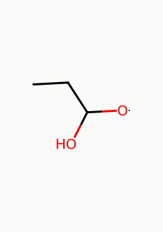 CCC([O])O